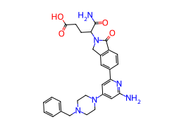 NC(=O)C(CCC(=O)O)N1Cc2cc(-c3cc(N4CCN(Cc5ccccc5)CC4)cc(N)n3)ccc2C1=O